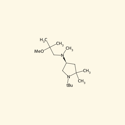 COC(C)(C)CN(C)[C@@H]1CN(C(C)(C)C)C(C)(C)C1